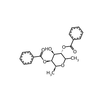 CC1O[C@@H](C)[C@@H](OC(=O)c2ccccc2)[C@@H](O)[C@@H]1OC(=O)c1ccccc1